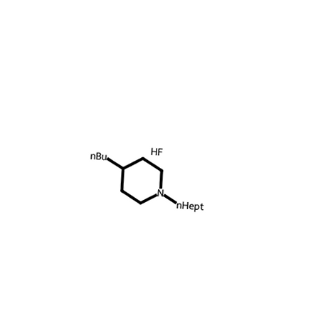 CCCCCCCN1CCC(CCCC)CC1.F